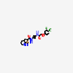 O=C(COc1ccc(Cl)c(F)c1)NC12CC(NC(=O)C3CC4CCCNC4S3)(C1)C2